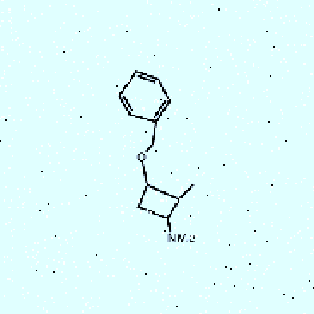 CNC1CC(OCc2ccccc2)C1C